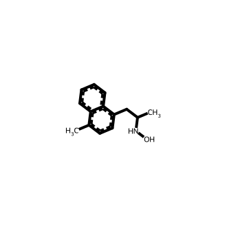 Cc1ccc(CC(C)NO)c2ccccc12